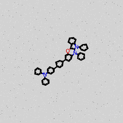 c1ccc(N(c2ccccc2)c2ccc(-c3ccc(-c4ccc5c(c4)Oc4c(n(-c6ccccc6)c6ccccc46)N5c4ccccc4)cc3)cc2)cc1